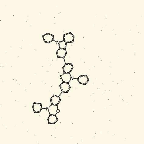 c1ccc(N2c3ccccc3Oc3cc(-c4ccc5c(c4)Sc4cc(-c6ccc7c(c6)c6ccccc6n7-c6ccccc6)ccc4N5c4ccccc4)ccc32)cc1